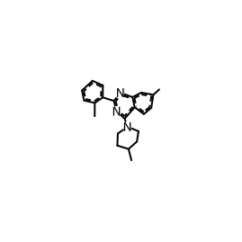 Cc1ccc2c(N3CCC(C)CC3)nc(-c3ccccc3C)nc2c1